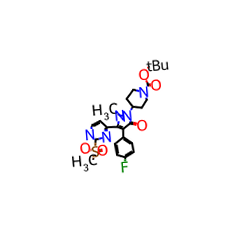 Cn1c(-c2ccnc(S(C)(=O)=O)n2)c(-c2ccc(F)cc2)c(=O)n1C1CCN(C(=O)OC(C)(C)C)CC1